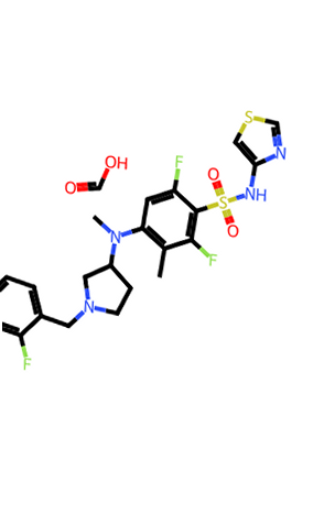 Cc1c(N(C)C2CCN(Cc3cccc(F)c3F)C2)cc(F)c(S(=O)(=O)Nc2cscn2)c1F.O=CO